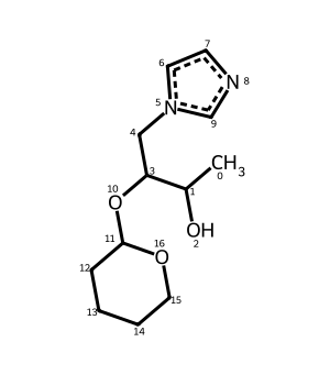 CC(O)C(Cn1ccnc1)OC1CCCCO1